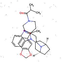 Cc1nc2ccccc2n1C1C[C@H]2CC[C@@H](C1)N2CCC1(c2ccc3c(c2)OCO3)CCN(C(=O)C(C)C)CC1